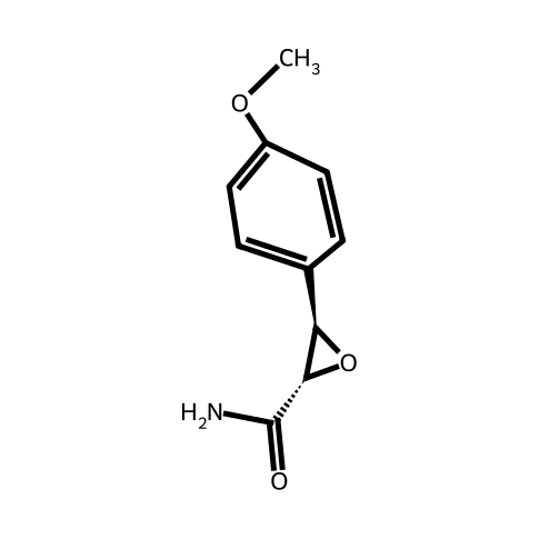 COc1ccc([C@H]2O[C@@H]2C(N)=O)cc1